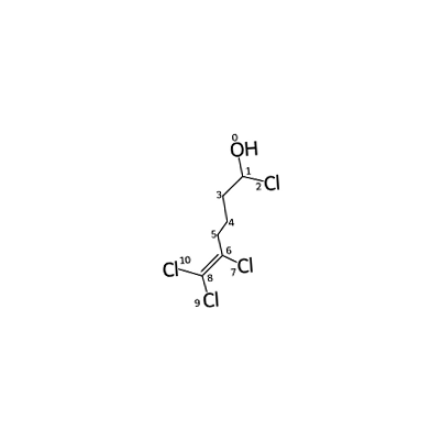 OC(Cl)CCCC(Cl)=C(Cl)Cl